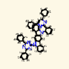 c1ccc(-c2cc(-c3ccccc3)nc(-c3ccccc3-n3c4ccccc4c4cc5c(cc43)c3ccccc3n5-c3nc(-c4ccccc4)nc(-c4ccccc4)n3)n2)cc1